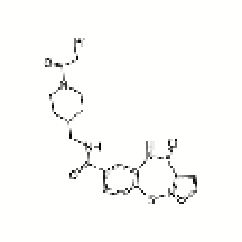 CC(C)CC(=O)N1CCC(CNC(=O)c2ccc3c(c2)NC(=O)c2cccn2S3)CC1